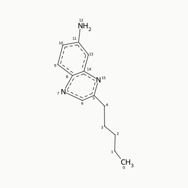 CCCCCc1cnc2ccc(N)cc2n1